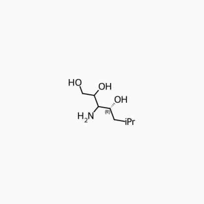 CC(C)C[C@@H](O)C(N)C(O)CO